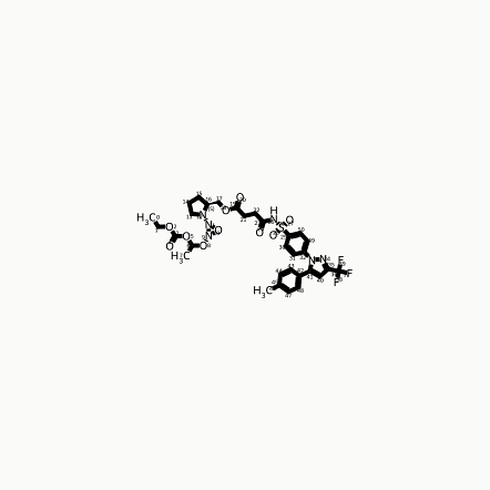 CCOC(=O)OC(C)On1on1N1CCC[C@H]1COC(=O)CCC(=O)NS(=O)(=O)c1ccc(-n2nc(C(F)(F)F)cc2-c2ccc(C)cc2)cc1